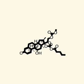 CCCCC(=O)OC(=O)O[C@]1(C(=O)COC(=O)OC)[C@H](C)C[C@H]2[C@@H]3CCC4=CC(=O)C=C[C@]4(C)[C@@]3(F)[C@@H](O)C[C@@]21C